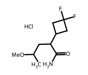 COC(C)CC(C(N)=O)C1CC(F)(F)C1.Cl